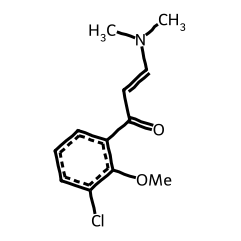 COc1c(Cl)cccc1C(=O)C=CN(C)C